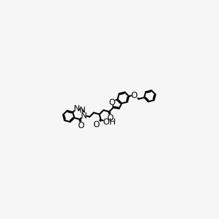 O=C(CC(CCn1nnc2ccccc2c1=O)C(=O)O)c1cc2cc(OCc3ccccc3)ccc2o1